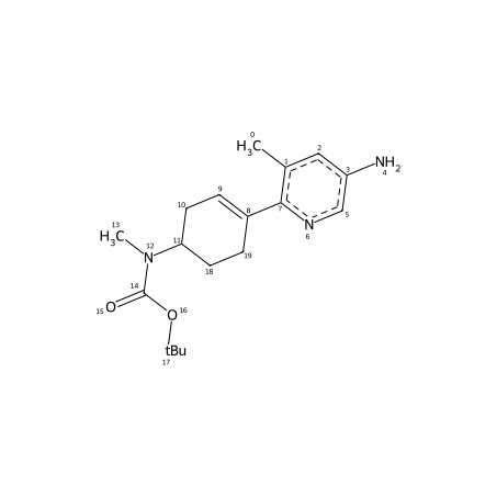 Cc1cc(N)cnc1C1=CCC(N(C)C(=O)OC(C)(C)C)CC1